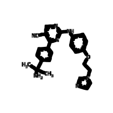 CC(C)(N)c1ccc(-c2nc(Nc3ccc(OCCn4ccnc4)cc3)ncc2C#N)cc1